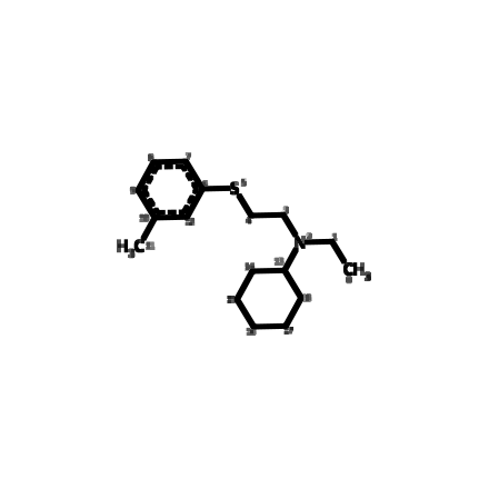 CCN(CCSc1cccc(C)c1)C1CCCCC1